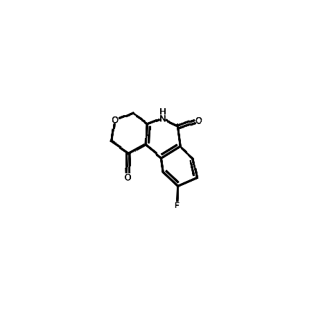 O=C1COCc2[nH]c(=O)c3ccc(F)cc3c21